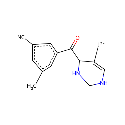 Cc1cc(C#N)cc(C(=O)C2NCNC=C2C(C)C)c1